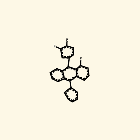 Fc1ccc(-c2c3ccccc3c(-c3ccccc3)c3cccc(F)c23)cc1F